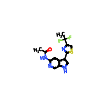 CC(=O)Nc1cc2c(-c3nc(C(C)(F)F)cs3)c[nH]c2cn1